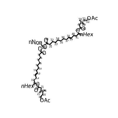 CCCCCCCCCC(OC(=O)CCCCCCCC=CCCC(CCCCCC)OC(=O)C[N+](C)(C)CCOC(C)=O)OC(=O)CCCCCCCC=CCCC(CCCCCC)OC(=O)C[N+](C)(C)CCOC(C)=O